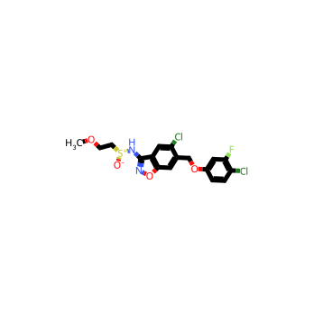 COCC[S+]([O-])Nc1noc2cc(COc3ccc(Cl)c(F)c3)c(Cl)cc12